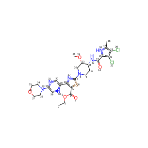 CCOC(=O)c1sc(N2CC[C@@H](NC(=O)c3[nH]c(C)c(Cl)c3Cl)[C@@H](OC)C2)nc1-c1cnc(N2CCOCC2)cn1